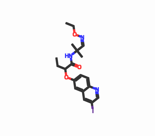 CCO/N=C\C(C)(C)NC(=O)C(CC)Oc1ccc2ncc(I)cc2c1